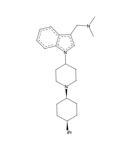 CC(C)[C@H]1CC[C@@H](N2CCC(n3cc(CN(C)C)c4ccccc43)CC2)CC1